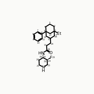 CCC12CCCC(c3ccccc3)(CC(CCC(=O)N[C@H]3CCNC[C@@H]3F)C1)C2